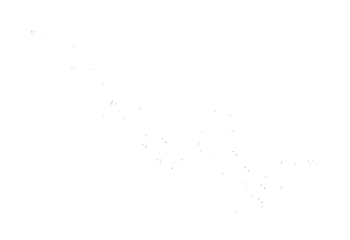 C#Cc1cc(Nc2nccc(Oc3ccc(NC(=O)Nc4cc(C(C)(C)C)nn4-c4ccc(OC)cc4)c4ccccc34)n2)cc(C(=O)NCCOCCOCCOC)c1